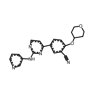 N#Cc1cc(-c2ccnc(Nc3cccnc3)n2)ccc1OC1CCOCC1